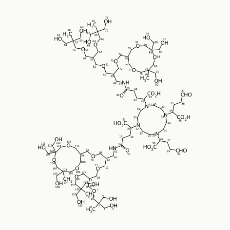 CC(CO)(CO)COCC(COCC(CNC(=O)CCC(C(=O)O)N1CCN(C(CCC=O)C(=O)O)CCN(C(CCC=O)C(=O)O)CCN(C(CCC(=O)NCC(COCC(COCC(C)(CO)CO)COCC(C)(CO)CO)COCC2COCC(C)(CO)COC(CO)(CO)COC2)C(=O)O)CC1)COCC1COCC(C)(CO)COC(CO)(CO)COC1)COCC(C)(CO)CO